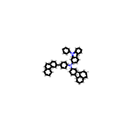 c1ccc(-n2c3ccccc3c3ccc(N(c4ccc(-c5ccc6ccc7ccccc7c6c5)cc4)c4ccc5c(c4)-c4cccc6cccc-5c46)cc32)cc1